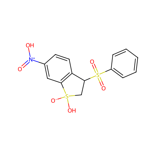 O=[N+](O)c1ccc2c(c1)S([O-])(O)CC2S(=O)(=O)c1ccccc1